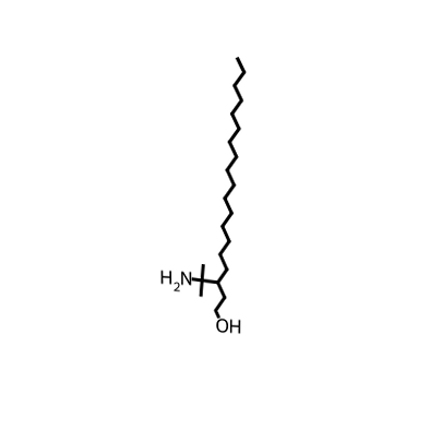 CCCCCCCCCCCCCCCCC(CCO)C(C)(C)N